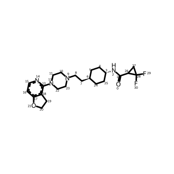 O=C(N[C@H]1CC[C@H](CCN2CCN(c3nccc4c3CCO4)CC2)CC1)C1CC1(F)F